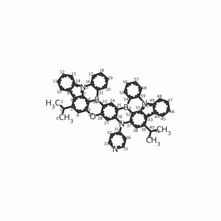 CC(C)c1cc2c3c4c1c1ccccc1n4-c1ccccc1B3c1cc3c(cc1O2)N(c1ccncc1)c1cc(C(C)C)c2c4ccccc4n4c2c1B3c1ccccc1-4